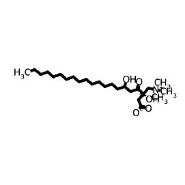 CCCCCCCCCCCCCCCC(O)CC(=O)[C@@](O)(CC(=O)[O-])C[N+](C)(C)C